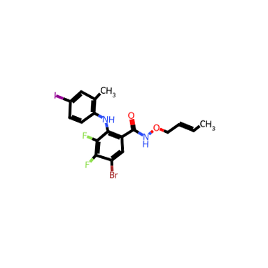 CC=CCONC(=O)c1cc(Br)c(F)c(F)c1Nc1ccc(I)cc1C